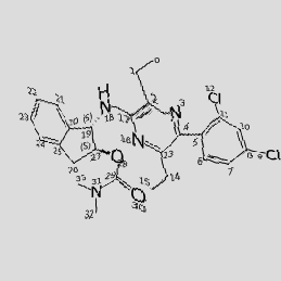 CCc1nc(-c2ccc(Cl)cc2Cl)c(CC)nc1N[C@H]1c2ccccc2C[C@@H]1OC(=O)N(C)C